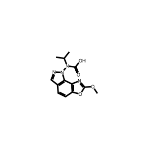 COc1nc2c(ccc3cnn(N(C(=O)O)C(C)C)c32)o1